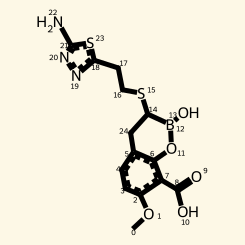 COc1ccc2c(c1C(=O)O)OB(O)C(SCCc1nnc(N)s1)C2